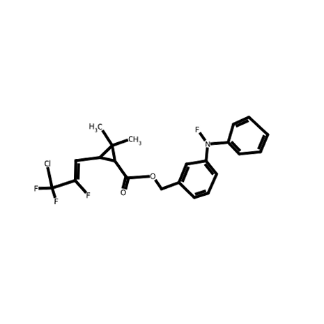 CC1(C)C(C=C(F)C(F)(F)Cl)C1C(=O)OCc1cccc(N(F)c2ccccc2)c1